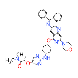 CN(C)C(=O)COc1cnc(NC2CCC(Oc3nc(N4CCOCC4)cc4ncc(N=C(c5ccccc5)c5ccccc5)cc34)CC2)nc1